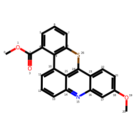 COC(=O)c1cccc2c1-c1cccc3nc4cc(OC)ccc4c(c13)S2